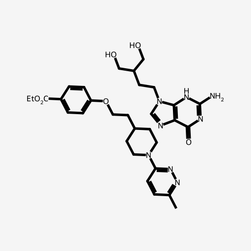 CCOC(=O)c1ccc(OCCC2CCN(c3ccc(C)nn3)CC2)cc1.Nc1nc(=O)c2ncn(CCC(CO)CO)c2[nH]1